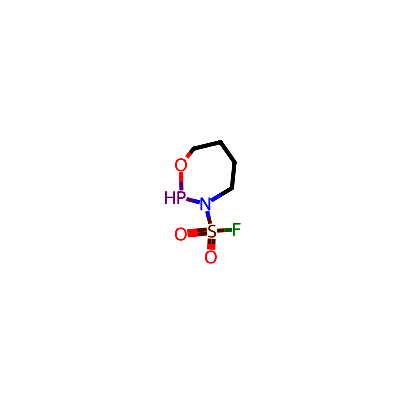 O=S(=O)(F)N1CCCCOP1